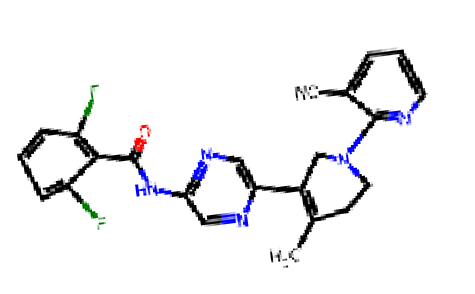 CC1=C(c2cnc(NC(=O)c3c(F)cccc3F)cn2)CN(c2ncccc2C#N)CC1